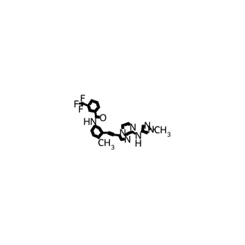 Cc1ccc(NC(=O)c2cccc(C(F)(F)F)c2)cc1C#Cc1cnc2c(Nc3cnn(C)c3)nccn12